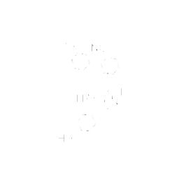 Cc1ccc([C@H](CC#N)[AsH][C@@H](C)C(Cc2ccc(Cl)cc2)c2cccc(C#N)c2)cc1